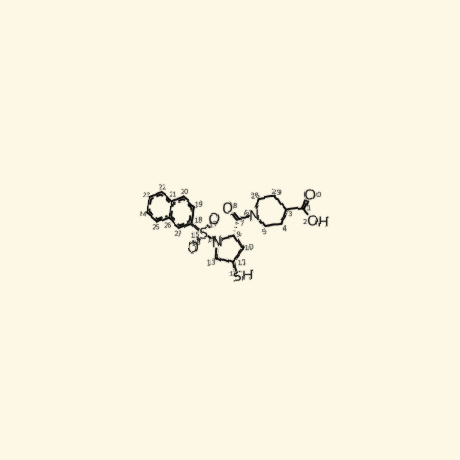 O=C(O)C1CCN(C(=O)[C@@H]2CC(S)CN2S(=O)(=O)c2ccc3ccccc3c2)CC1